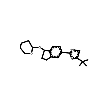 FC(F)(F)c1c[nH]c(-c2ccc3c(c2)CCC3OC2CCCCO2)n1